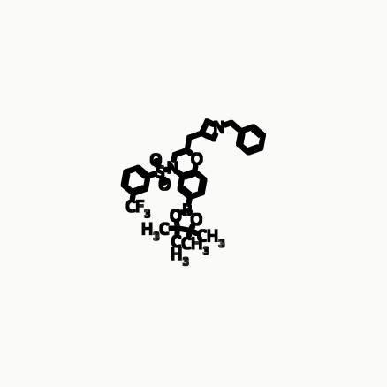 CC1(C)OB(c2ccc3c(c2)N(S(=O)(=O)c2cccc(C(F)(F)F)c2)CC(CC2CN(Cc4ccccc4)C2)O3)OC1(C)C